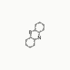 b1c2ccccc2nc2ccccc12